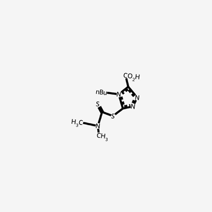 CCCCn1c(SC(=S)N(C)C)nnc1C(=O)O